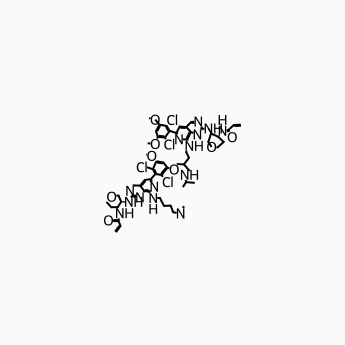 C=CC(=O)N[C@H]1CCOC[C@H]1Nc1ncc2cc(-c3c(Cl)c(OC)cc(OC)c3Cl)nc(NCCC(CNC(C)C)COc3cc(OC)c(Cl)c(-c4cc5cnc(N[C@@H]6COCC[C@@H]6NC(=O)C=C)nc5c(NCCCCN(C)C)n4)c3Cl)c2n1